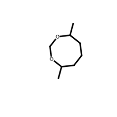 CC1CCCC(C)OCO1